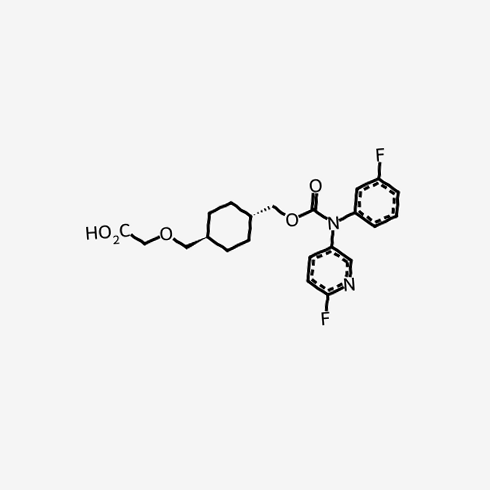 O=C(O)COC[C@H]1CC[C@H](COC(=O)N(c2ccc(F)nc2)c2cccc(F)c2)CC1